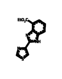 CCOC(=O)c1cccc2[nH]c(-c3cscn3)nc12